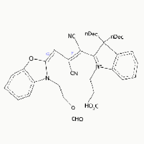 CCCCCCCCCCC1(CCCCCCCCCC)C(/C(C#N)=C(C#N)/C=C2/Oc3ccccc3N2CCOC=O)=[N+](CCC(=O)O)c2ccccc21